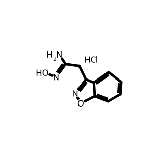 Cl.NC(Cc1noc2ccccc12)=NO